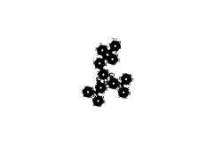 c1ccc(-c2c3ccccc3c(-c3cccc(-c4cc5c6c(c4)Sc4cc(N(c7ccccc7)c7ccccc7)ccc4B6c4ccc(N(c6ccccc6)c6ccccc6)cc4S5)c3)c3ccccc23)cc1